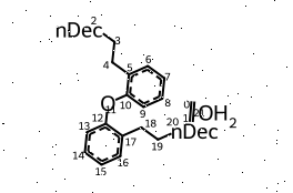 C=C.CCCCCCCCCCCCc1ccccc1Oc1ccccc1CCCCCCCCCCCC.O